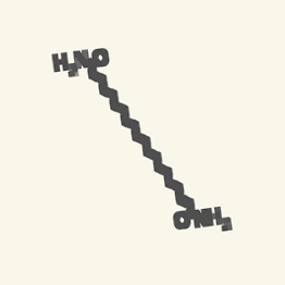 NC(=O)C=CCCCCCCCCCCCCCCCCC(N)=O